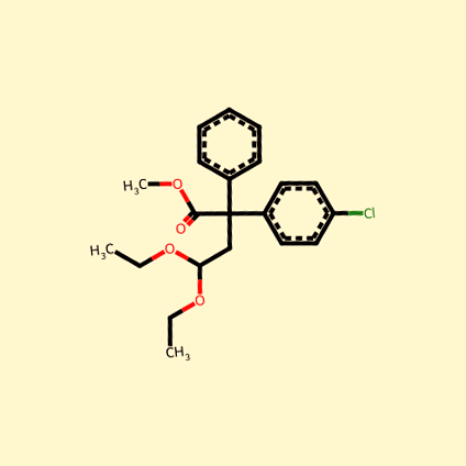 CCOC(CC(C(=O)OC)(c1ccccc1)c1ccc(Cl)cc1)OCC